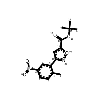 Cc1ccc([N+](=O)[O-])cc1-c1cc(C(=O)OC(C)(C)C)on1